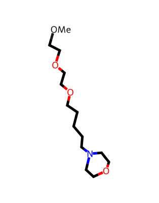 COCCOCCOCCCCCN1CCOCC1